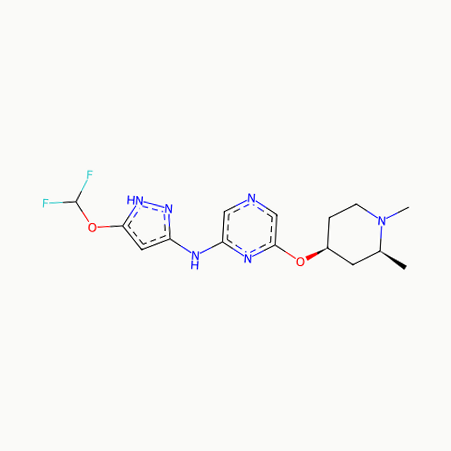 C[C@H]1C[C@@H](Oc2cncc(Nc3cc(OC(F)F)[nH]n3)n2)CCN1C